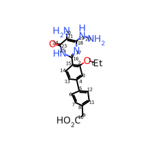 CCOc1cc(-c2ccc(CC(=O)O)cc2)ccc1-c1nc(NN)c(N)c(=O)[nH]1